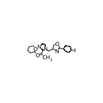 C[C@H](OC1CCCCO1)c1nccn1CC1COC(c2ccc(I)cc2)=N1